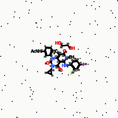 CC(=O)Nc1cccc(-n2c(=O)n(C3CC3)c(=O)c3c(Nc4ccc(I)cc4F)n(C)c(=O)c(C)c32)c1.OCCO